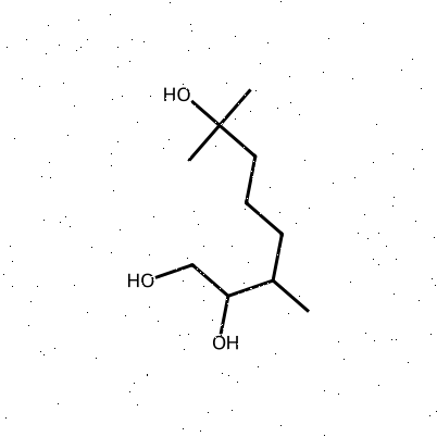 CC(CCCC(C)(C)O)C(O)CO